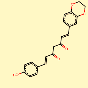 O=C(C=Cc1ccc(O)cc1)CC(=O)C=Cc1ccc2c(c1)OCCO2